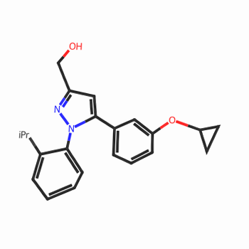 CC(C)c1ccccc1-n1nc(CO)cc1-c1cccc(OC2CC2)c1